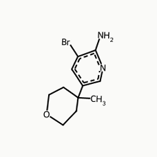 CC1(c2cnc(N)c(Br)c2)CCOCC1